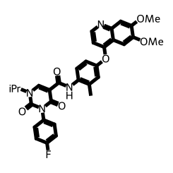 COc1cc2nccc(Oc3ccc(NC(=O)c4cn(C(C)C)c(=O)n(-c5ccc(F)cc5)c4=O)c(C)c3)c2cc1OC